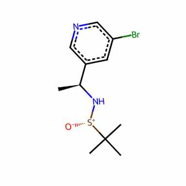 C[C@H](N[S@@+]([O-])C(C)(C)C)c1cncc(Br)c1